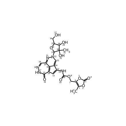 Cc1oc(=O)oc1COC(=O)Nc1cc2c(=O)[nH]ncc3nn(C4OC(CO)C(O)C4(C)O)cc1c32